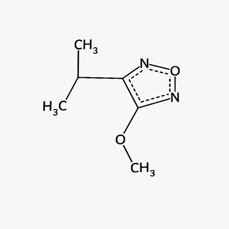 COc1nonc1C(C)C